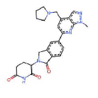 Cn1ncc2c(CN3CCCC3)cc(-c3ccc4c(c3)CN(C3CCC(=O)NC3=O)C4=O)nc21